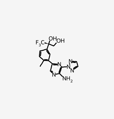 Cc1ccc([C@](O)(CO)C(F)(F)F)cc1-c1cnc(N)c(-n2nccn2)n1